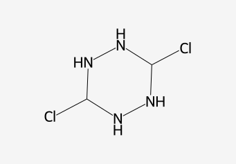 ClC1NNC(Cl)NN1